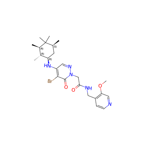 COc1cnccc1CNC(=O)Cn1ncc(N[C@@H]2C[C@H](C)C(C)(C)[C@H](C)[C@H]2C)c(Br)c1=O